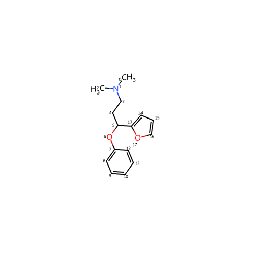 CN(C)CCC(Oc1ccccc1)c1ccco1